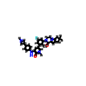 CCc1c(-c2cc(Nc3ccc(C4CN(C)C4)cc3)c(=O)n(C)c2)cc(F)cc1N1CCn2c(cc3c2CC(C)(C)C3)C1=O